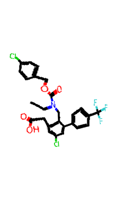 CCN(Cc1c(CC(=O)O)cc(Cl)cc1-c1ccc(C(F)(F)F)cc1)C(=O)OCc1ccc(Cl)cc1